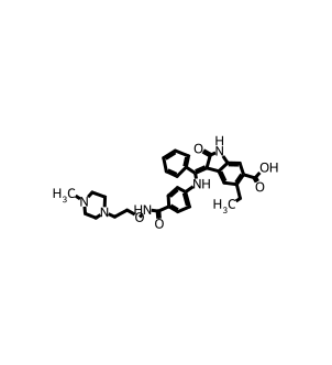 CCc1cc2c(cc1C(=O)O)NC(=O)C2=C(Nc1ccc(C(=O)NOCCN2CCN(C)CC2)cc1)c1ccccc1